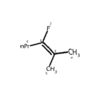 CCCC(F)=C(C)C